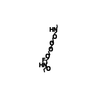 CCNCCOCCOCCOCCOCC(F)CNC(=O)CC